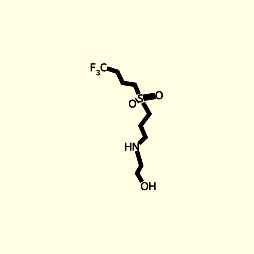 O=S(=O)(CCCNCCO)CCCC(F)(F)F